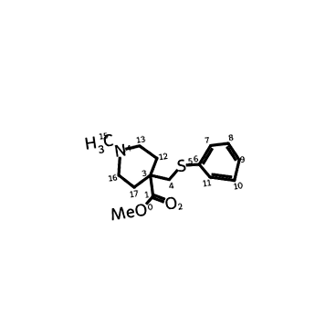 COC(=O)C1(CSc2ccccc2)CCN(C)CC1